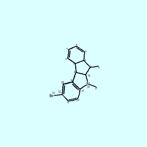 CC1C2C=CC=CC2C2c3cc(Br)ccc3N(C)C12